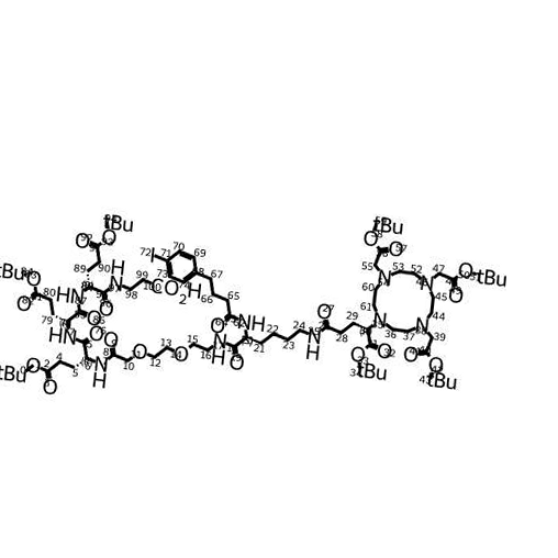 CC(C)(C)OC(=O)CC[C@@H](NC(=O)COCCOCCNC(=O)[C@H](CCCCNC(=O)CC[C@H](C(=O)OC(C)(C)C)N1CCN(CC(=O)OC(C)(C)C)CCN(CC(=O)OC(C)(C)C)CCN(CC(=O)OC(C)(C)C)CC1)NC(=O)CCCc1ccc(I)cc1)C(=O)N[C@H](CCC(=O)OC(C)(C)C)C(=O)N[C@H](CCC(=O)OC(C)(C)C)C(=O)NCCC(=O)O